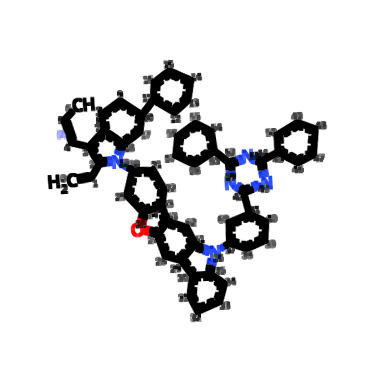 C=Cc1c(/C=C\C)c2ccc(-c3ccccc3)cc2n1-c1ccc2c(c1)oc1cc3c4ccccc4n(-c4cccc(-c5nc(-c6ccccc6)nc(-c6ccccc6)n5)c4)c3cc12